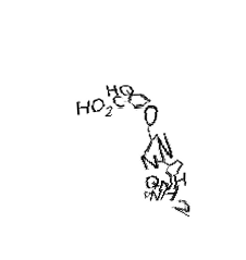 NC1(C(=O)Nc2cccc(-c3ncc(COc4ccc(O)c(C(=O)O)c4)cn3)c2)CC1